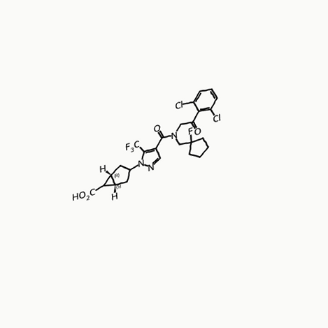 O=C(CN(CC1(F)CCCC1)C(=O)c1cnn(C2C[C@@H]3C(C(=O)O)[C@@H]3C2)c1C(F)(F)F)c1c(Cl)cccc1Cl